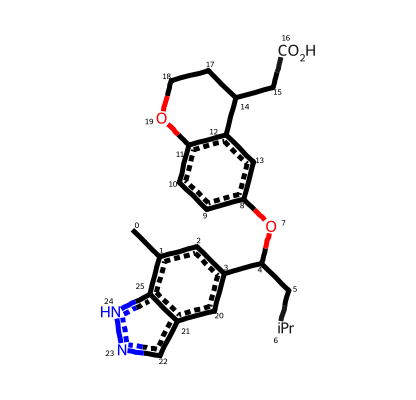 Cc1cc(C(CC(C)C)Oc2ccc3c(c2)C(CC(=O)O)CCO3)cc2cn[nH]c12